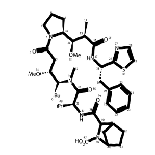 CC[C@H](C)[C@@H]([C@@H](CC(=O)N1CCC[C@H]1[C@H](OC)[C@@H](C)C(=O)N[C@@H](Cc1ccccc1)c1nccs1)OC)N(C)C(=O)[C@@H](NC(=O)C1C2CCC(C2)N1C(=O)O)C(C)C